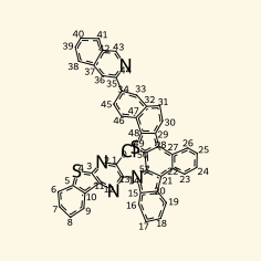 Clc1nc2sc3ccccc3c2nc1-n1c2ccccc2c2c3ccccc3c3c4ccc5cc(-c6cc7ccccc7cn6)ccc5c4sc3c21